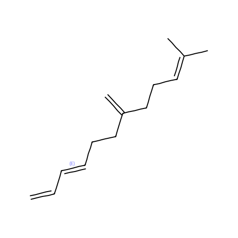 C=C/C=C/CCC(=C)CCC=C(C)C